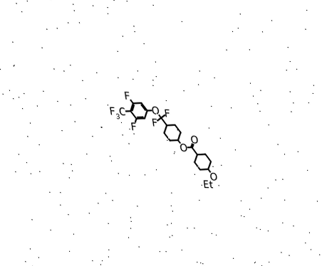 CCOC1CCC(C(=O)OC2CCC(C(F)(F)Oc3cc(F)c(C(F)(F)F)c(F)c3)CC2)CC1